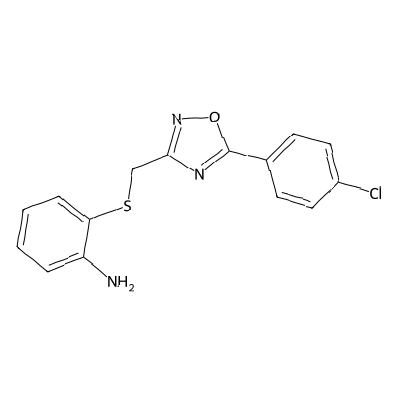 Nc1ccccc1SCc1noc(-c2ccc(Cl)cc2)n1